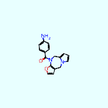 Nc1ccc(C(=O)N2Cc3cccn3Cc3ccoc32)cc1